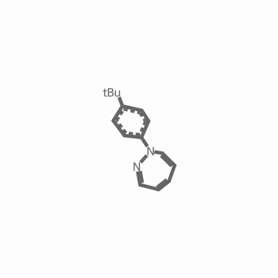 CC(C)(C)c1ccc(N2C=CC=CC=N2)cc1